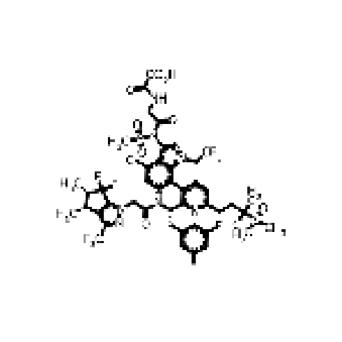 C[C@@H]1c2c(C(F)(F)F)nn(CC(=O)N[C@@H](Cc3cc(F)cc(F)c3)c3nc(CCC(C)(C)S(C)(=O)=O)ccc3-c3ccc(Cl)c4c(N(C(=O)CNC(=O)C(=O)O)S(C)(=O)=O)nn(CC(F)(F)F)c34)c2C(F)(F)[C@@H]1C